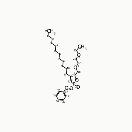 CCCCCCCCCCCCCOP(=O)(OCCOCCOCC)OOc1ccccc1